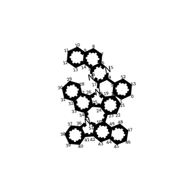 c1ccc(-c2nc3ccc4ccccc4c3nc2-n2c3cccc4c3c3c2c2ccccc2cc3n2c3ccccc3c3cc5ccccc5c4c32)cc1